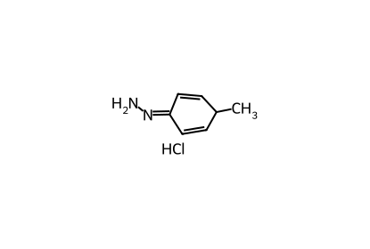 CC1C=CC(=NN)C=C1.Cl